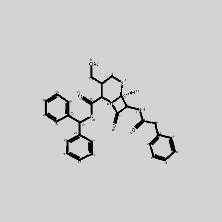 CC(=O)OCC1CS[C@H]2C(NC(=O)Cc3ccccc3)C(=O)N2C1C(=O)OC(c1ccccc1)c1ccccc1